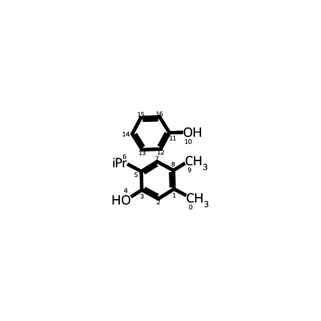 Cc1cc(O)c(C(C)C)cc1C.Oc1ccccc1